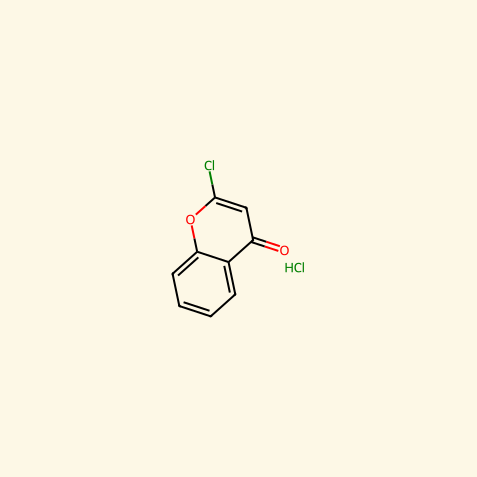 Cl.O=c1cc(Cl)oc2ccccc12